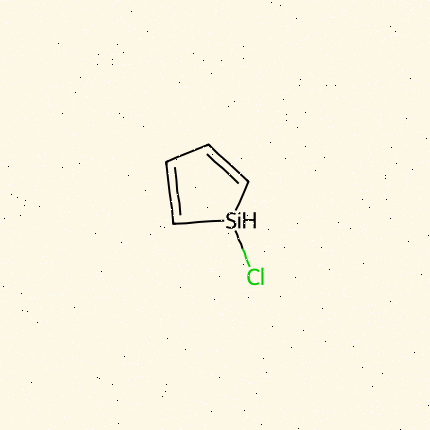 Cl[SiH]1C=CC=C1